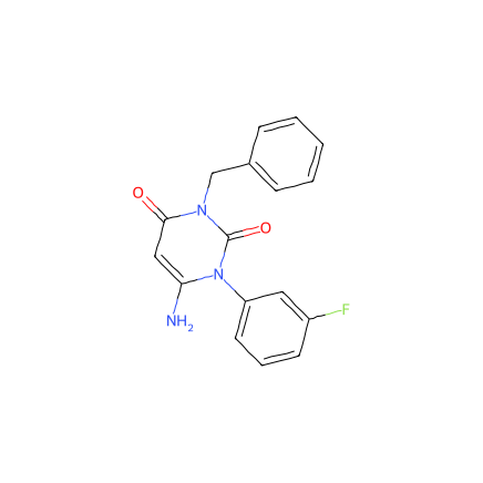 Nc1cc(=O)n(Cc2ccccc2)c(=O)n1-c1cccc(F)c1